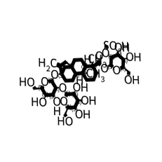 C=C1C[C@@]23CC[C@H]4[C@@](C)(CCC[C@@]4(C)C(=O)O[C@@H]4O[C@H](CO)[C@@H](O)[C@H](O)[C@H]4OS(=O)(=O)O)[C@@H]2CC[C@]1(O[C@@H]1O[C@H](CO)[C@@H](O)[C@H](O)[C@H]1O[C@@H]1O[C@H](CO)[C@@H](O)[C@H](O)[C@H]1O)C3